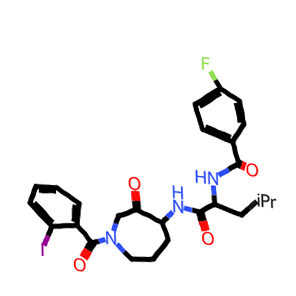 CC(C)CC(NC(=O)c1ccc(F)cc1)C(=O)NC1CCCN(C(=O)c2ccccc2I)CC1=O